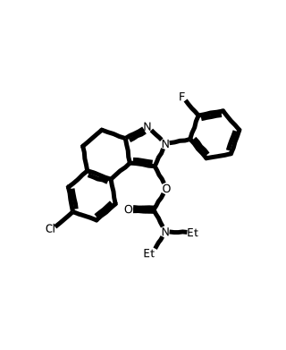 CCN(CC)C(=O)Oc1c2c(nn1-c1ccccc1F)CCc1cc(Cl)ccc1-2